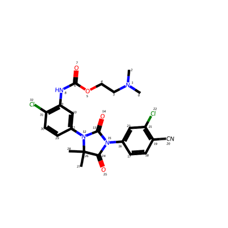 CN(C)CCOC(=O)Nc1cc(N2C(=O)N(c3ccc(C#N)c(Cl)c3)C(=O)C2(C)C)ccc1Cl